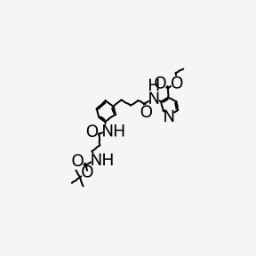 CCOC(=O)c1ccncc1NC(=O)CCCc1cccc(NC(=O)CCNC(=O)OC(C)(C)C)c1